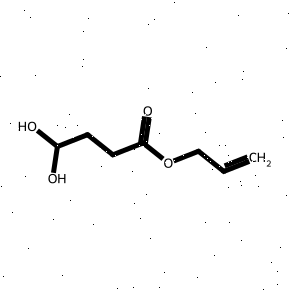 C=CCOC(=O)CCC(O)O